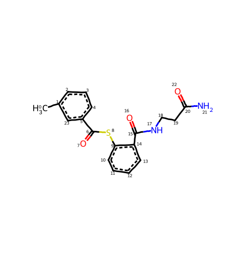 Cc1cccc(C(=O)Sc2ccccc2C(=O)NCCC(N)=O)c1